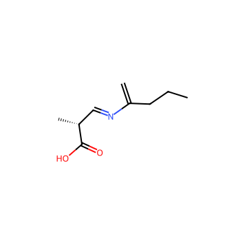 C=C(CCC)/N=C/[C@@H](C)C(=O)O